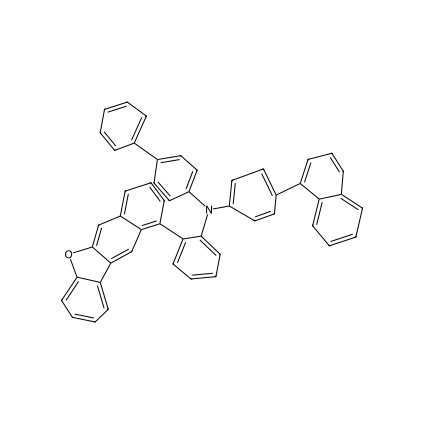 c1ccc(-c2ccc(N(c3ccc(-c4cccc5ccccc45)cc3)c3ccccc3-c3cccc4cc5oc6ccccc6c5cc34)cc2)cc1